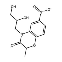 CC1Oc2ccc([N+](=O)[O-])cc2N(CC(O)CO)C1=O